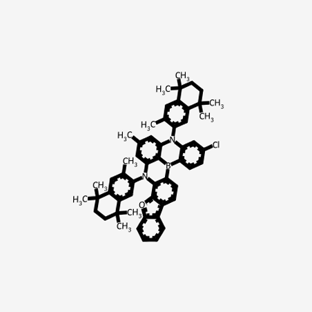 Cc1cc2c3c(c1)N(c1cc4c(cc1C)C(C)(C)CCC4(C)C)c1c(ccc4c1oc1ccccc14)B3c1ccc(Cl)cc1N2c1cc2c(cc1C)C(C)(C)CCC2(C)C